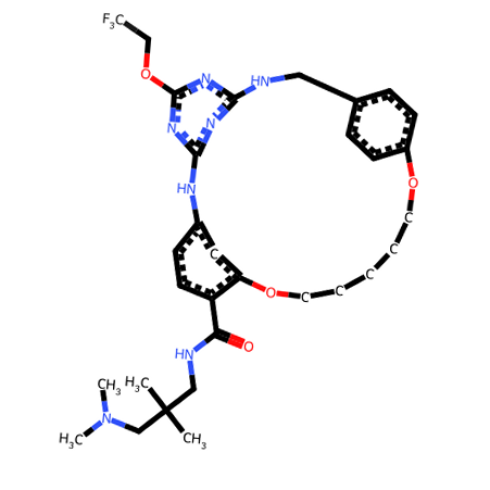 CN(C)CC(C)(C)CNC(=O)c1ccc2cc1OCCCCCOc1ccc(cc1)CNc1nc(nc(OCC(F)(F)F)n1)N2